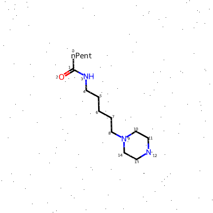 CCCCCC(=O)NCCCCCN1CC[N]CC1